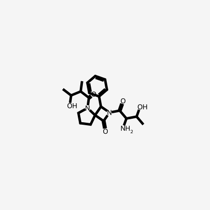 CC(O)C(C)C(=O)N1CCCC12C(=O)N(C(=O)C(N)C(C)O)C2c1ccccc1